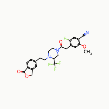 COc1cc(CC(=O)N2CCN(CCc3ccc4c(c3)COC4=O)C(C(F)(F)F)C2)c(F)cc1C#N